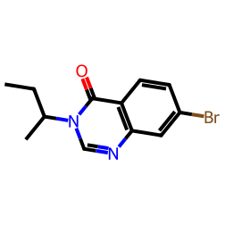 CCC(C)n1cnc2cc(Br)ccc2c1=O